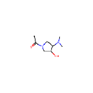 CC(=O)N1CC(O)C(N(C)C)C1